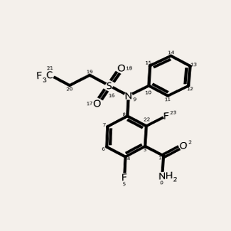 NC(=O)c1c(F)ccc(N(c2ccccc2)S(=O)(=O)CCC(F)(F)F)c1F